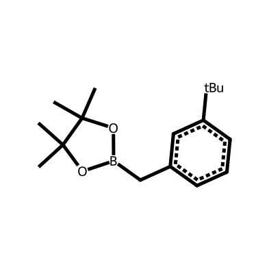 CC(C)(C)c1cccc(CB2OC(C)(C)C(C)(C)O2)c1